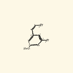 COc1cc(/C=C\C(C)C)cc(C(C)C)c1